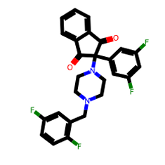 O=C1c2ccccc2C(=O)C1(c1cc(F)cc(F)c1)N1CCN(Cc2cc(F)ccc2F)CC1